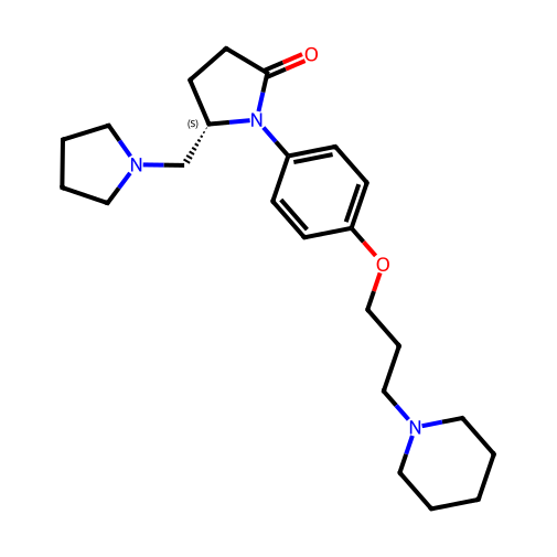 O=C1CC[C@@H](CN2CCCC2)N1c1ccc(OCCCN2CCCCC2)cc1